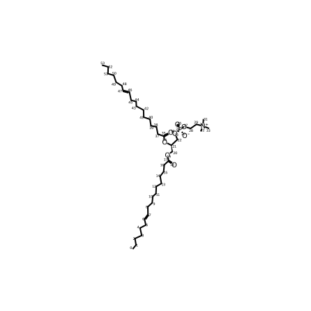 CCCCCC/C=C/CCCCCCCCCC(=O)OC[C@H](COP(=O)([O-])OCC[N+](C)(C)C)OC(=O)CCCCCCCCC/C=C/CCCCCC